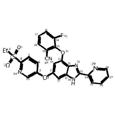 CCS(=O)(=O)c1ccc(Oc2cc(Oc3c(F)cccc3C#N)c3nc(-c4ccccn4)[nH]c3c2)cn1